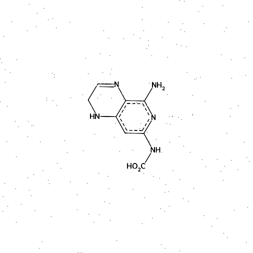 Nc1nc(NC(=O)O)cc2c1N=CCN2